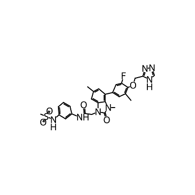 Cc1cc(-c2cc(C)c(OCc3nnc[nH]3)c(F)c2)c2c(c1)n(CC(=O)Nc1cccc(NS(C)(=O)=O)c1)c(=O)n2C